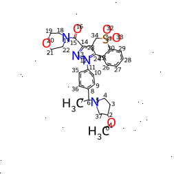 COC1CCN(C(C)c2ccc(-n3nc(C(=O)N4CCOCC4)c4c3-c3ccccc3S(=O)(=O)C4)cc2)C1